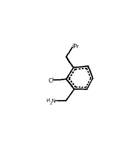 CC(C)Cc1cccc(CN)c1Cl